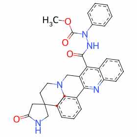 COC(=O)N(NC(=O)c1c(CN2CCC3(CC2)CNC(=O)C3)c(-c2ccccc2)nc2ccccc12)c1ccccc1